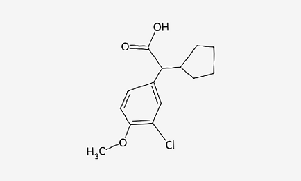 COc1ccc(C(C(=O)O)C2CCCC2)cc1Cl